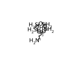 NCCC[SiH]1O[SiH2]O[SiH2]O[SiH2]O[SiH2]O1